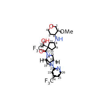 CO[C@@H]1COCC[C@@H]1N[C@@H]1CC[C@@](C(=O)N2C[C@@H]3C[C@H]2CN3c2cc(C(F)(F)F)ccn2)(C(O)C(F)(F)F)C1